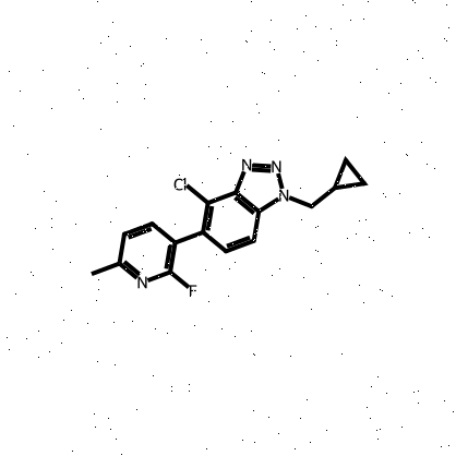 Cc1ccc(-c2ccc3c(nnn3CC3CC3)c2Cl)c(F)n1